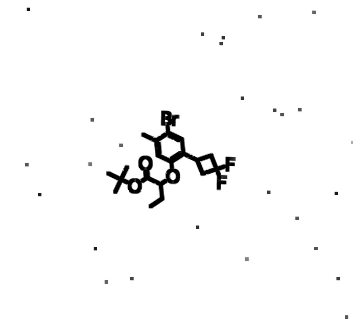 CCC(Oc1cc(C)c(Br)cc1C1CC(F)(F)C1)C(=O)OC(C)(C)C